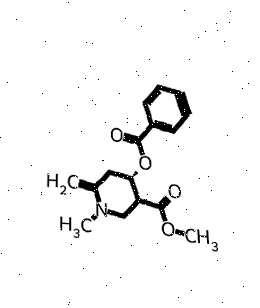 C=C1C[C@H](OC(=O)c2cc#ccc2)C(C(=O)OC)CN1C